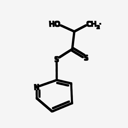 [CH2]C(O)C(=S)Sc1ccccn1